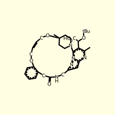 Cc1nc2cc3nn2c(c1[C@H](OC(C)(C)C)C(=O)O)N1CCC(C)(CC1)OCC=CCOc1ccccc1CC(=O)NC3